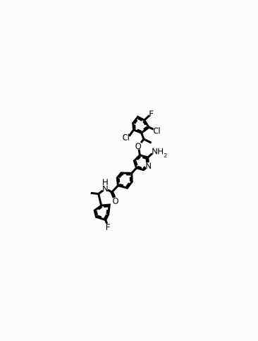 CC(NC(=O)c1ccc(-c2cnc(N)c(OC(C)c3c(Cl)ccc(F)c3Cl)c2)cc1)c1ccc(F)cc1